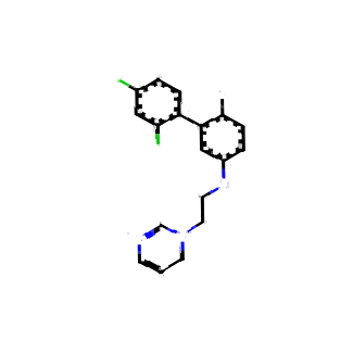 O=[N+]([O-])c1ccc(NCCN2C=NC=CC2)cc1-c1ccc(Cl)cc1Cl